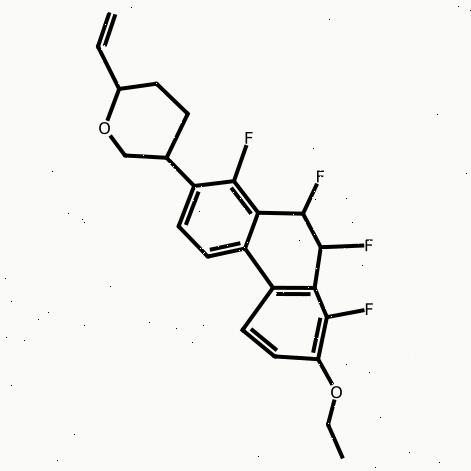 C=CC1CCC(c2ccc3c(c2F)C(F)C(F)c2c-3ccc(OCC)c2F)CO1